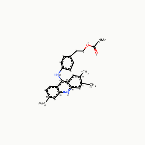 CNC(=O)OCCc1ccc(Nc2c3ccc(OC)cc3nc3cc(C)c(C)cc23)cc1